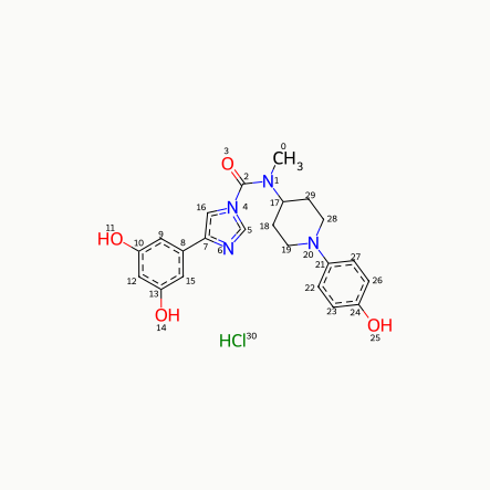 CN(C(=O)n1cnc(-c2cc(O)cc(O)c2)c1)C1CCN(c2ccc(O)cc2)CC1.Cl